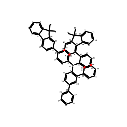 CC1(C)c2ccccc2-c2ccc(-c3ccc(N(c4ccc(-c5ccccc5)cc4-c4ccccc4)c4ccccc4-c4cccc5c4-c4ccccc4C5(C)C)cc3)cc21